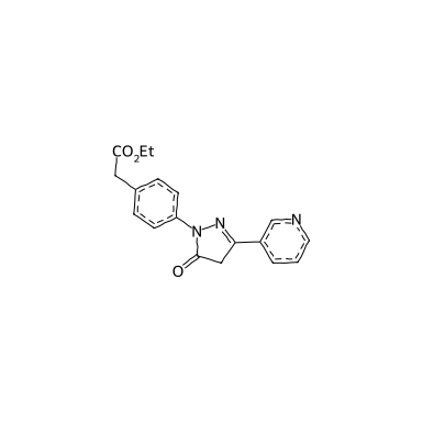 CCOC(=O)Cc1ccc(N2N=C(c3cccnc3)CC2=O)cc1